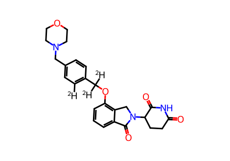 [2H]c1cc(CN2CCOCC2)ccc1C([2H])([2H])Oc1cccc2c1CN(C1CCC(=O)NC1=O)C2=O